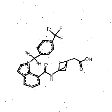 [2H]C([2H])(c1ccc(C(F)(F)F)cc1)n1ccc2cccc(C(=O)NC34CC(CC(=O)O)(C3)C4)c21